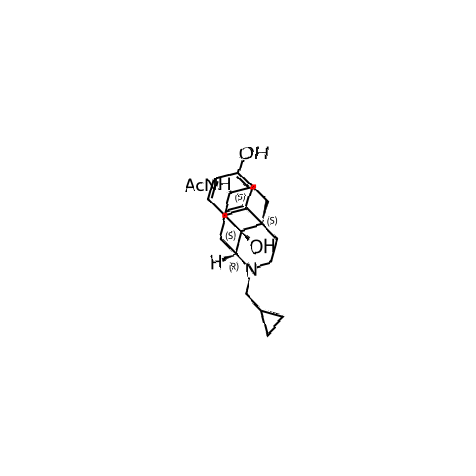 CC(=O)N[C@H]1CC[C@]23CCN(CC4CC4)[C@H](Cc4ccc(O)cc42)[C@]3(O)C1